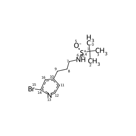 CC(C)(C)[S@+]([O-])NCCCc1ccnc(Br)c1